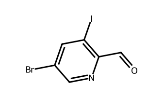 O=Cc1ncc(Br)cc1I